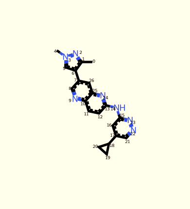 Cc1nn(C)cc1-c1cnc2ccc(Nc3cc(C4CC4)cnn3)nc2c1